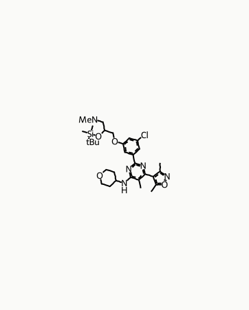 CNCC(COc1cc(Cl)cc(-c2nc(NC3CCOCC3)c(C)c(-c3c(C)noc3C)n2)c1)O[Si](C)(C)C(C)(C)C